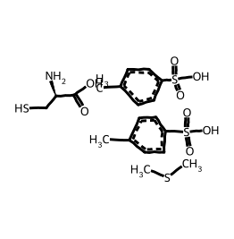 CSC.Cc1ccc(S(=O)(=O)O)cc1.Cc1ccc(S(=O)(=O)O)cc1.N[C@H](CS)C(=O)O